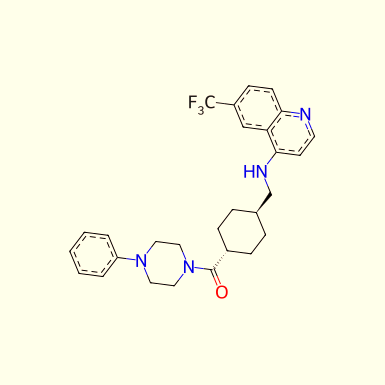 O=C([C@H]1CC[C@H](CNc2ccnc3ccc(C(F)(F)F)cc23)CC1)N1CCN(c2ccccc2)CC1